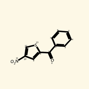 O=C(c1ccccc1)c1cc([N+](=O)[O-])[c]s1